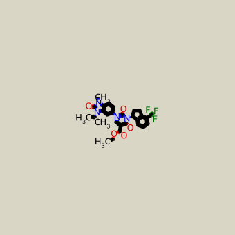 CCOC(=O)c1cn(-c2ccc3c(c2)n(C(C)C)c(=O)n3C)c(=O)n([C@@H]2CCc3c2cccc3C(F)(F)F)c1=O